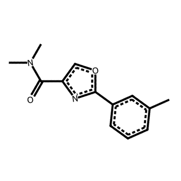 Cc1cccc(-c2nc(C(=O)N(C)C)co2)c1